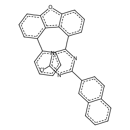 Clc1nc(-c2ccc3ccccc3c2)nc(-c2cccc3oc4cccc(-c5ccccc5)c4c23)n1